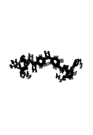 C=C(O)CN(C)NNc1ccc(Nc2ccc(/N=N/c3n(C)cc[n+]3C)cc2)cc1